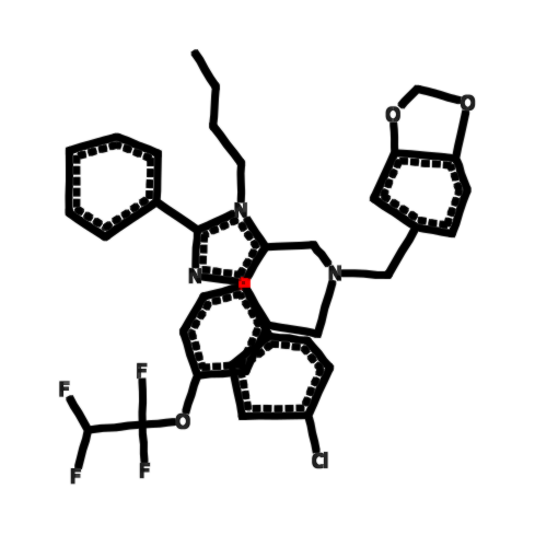 CCCCn1c(-c2ccccc2)nc(-c2ccc(Cl)cc2)c1CN(Cc1cccc(OC(F)(F)C(F)F)c1)Cc1ccc2c(c1)OCO2